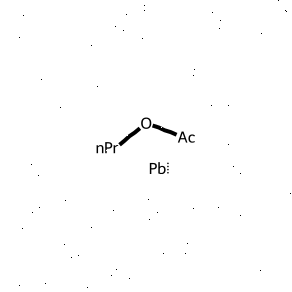 CCCOC(C)=O.[Pb]